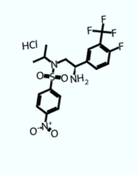 CC(C)N(C[C@H](N)c1ccc(F)c(C(F)(F)F)c1)S(=O)(=O)c1ccc([N+](=O)[O-])cc1.Cl